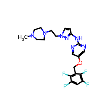 CN1CCN(CCn2ccc(Nc3ncc(OCc4c(F)c(F)cc(F)c4F)cn3)n2)CC1